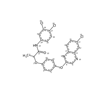 CC(Oc1ccc(Oc2cnc3cc(Cl)ccc3n2)cc1)C(=O)Nc1ccc(Cl)c(Cl)c1